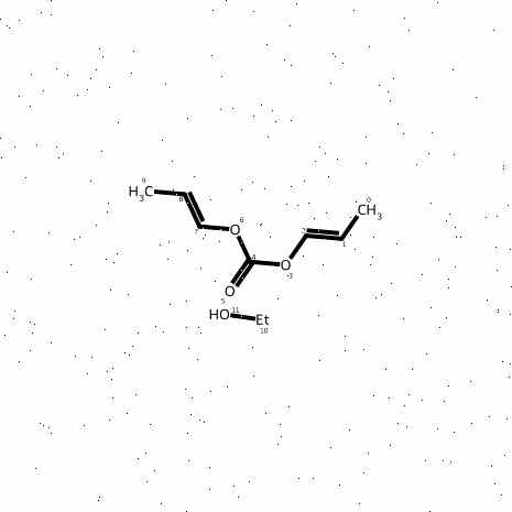 CC=COC(=O)OC=CC.CCO